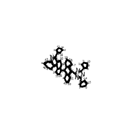 c1ccc(-c2nc(-c3ccccc3)nc(-c3c4ccccc4c(-c4cccc5c4ccc4c(-c6ccccc6)nc6ccccc6c45)c4ccccc34)n2)cc1